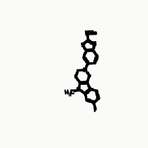 CNc1nc2ccc(N3CCc4c(c5ccc(F)cc5n4C)C3)cc2s1